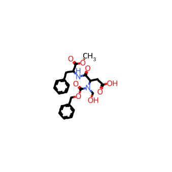 COC(=O)C(Cc1ccccc1)NC(=O)C(CC(=O)O)N(CO)C(=O)OCc1ccccc1